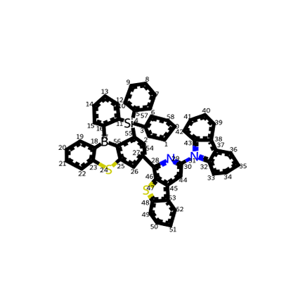 c1ccc([Si]2(c3ccccc3)c3ccccc3B3c4ccccc4Sc4cc(-c5nc(-n6c7ccccc7c7ccccc76)cc6c5sc5ccccc56)cc2c43)cc1